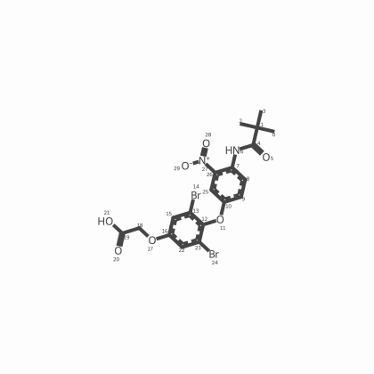 CC(C)(C)C(=O)Nc1ccc(Oc2c(Br)cc(OCC(=O)O)cc2Br)cc1[N+](=O)[O-]